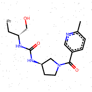 Cc1ccc(C(=O)N2CC[C@@H](NC(=O)N[C@@H](CO)CC(C)C)C2)cn1